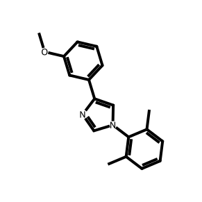 COc1cccc(-c2cn(-c3c(C)cccc3C)cn2)c1